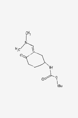 CN(C)/C=C1/CC(NC(=O)OC(C)(C)C)CCC1=O